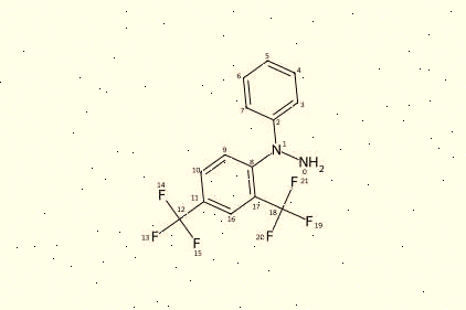 NN(c1ccccc1)c1ccc(C(F)(F)F)cc1C(F)(F)F